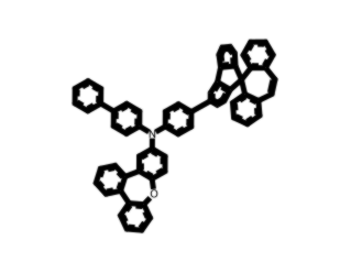 C1=Cc2ccccc2C2(c3ccccc31)c1ccccc1-c1cc(-c3ccc(N(c4ccc(-c5ccccc5)cc4)c4ccc5c(c4)-c4ccccc4-c4ccccc4O5)cc3)ccc12